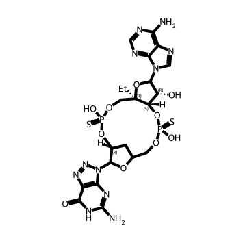 CC[C@@]12COP(O)(=S)O[C@@H]3CC(COP(O)(=S)O[C@H]1[C@@H](O)C(n1cnc4c(N)ncnc41)O2)OC3n1nnc2c(=O)[nH]c(N)nc21